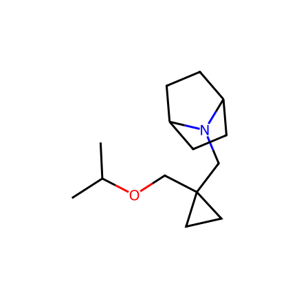 CC(C)OCC1(CN2C3CCC2CC3)CC1